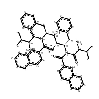 CC(C)[C@H](N)C(=O)N(C(=O)c1ccc2ccccc2n1)[C@@H](Cc1ccccc1)[C@H](O)[C@H](O)[C@H](Cc1ccccc1)N(C(=O)c1ccc2ccccc2n1)C(=O)[C@@H](N)C(C)C